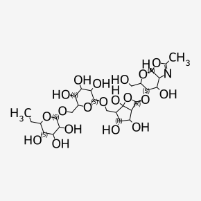 CCC1O[C@H](OCC2O[C@H](OCC3[C@@H](O)C(O)C4[C@H](O[C@@H]5C(CO)O[C@@H]6OC(C)=NC6C5O)OC43O)C(O)C(O)[C@@H]2O)C(O)C(O)[C@@H]1O